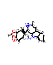 CC1Cc2c([nH]c3ccccc23)C(c2ccc3c(c2)OCO3)N1